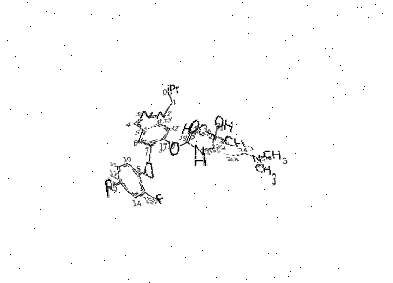 CC(C)Cn1ncc2cc(Oc3ccc(F)cc3F)c(OC(=O)N[C@@H](CCN(C)C)C(C)(C)O)cc21